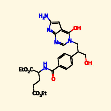 CCOC(=O)CCC(NC(=O)c1ccc(C(CO)Cn2cnc3nc(N)cc-3c2O)cc1)C(=O)OCC